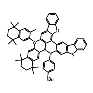 Cc1cc2c(cc1N1c3cc4c(cc3B3c5c1cc1c(oc6ccccc61)c5-c1cc5c(cc1N3c1ccc(C(C)(C)C)cc1)sc1ccccc15)C(C)(C)CCC4(C)C)C(C)(C)CCC2(C)C